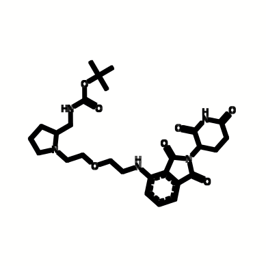 CC(C)(C)OC(=O)NCC1CCCN1CCOCCNc1cccc2c1C(=O)N(C1CCC(=O)NC1=O)C2=O